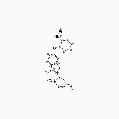 C=CCCC(C(=O)NC)N1Cc2cc(OC3CCCCC3NCC)ccc2C1=C